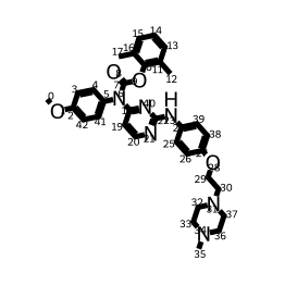 COc1ccc(N(C(=O)Oc2c(C)cccc2C)c2ccnc(Nc3ccc(OCCN4CCN(C)CC4)cc3)n2)cc1